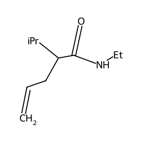 C=CCC(C(=O)NCC)C(C)C